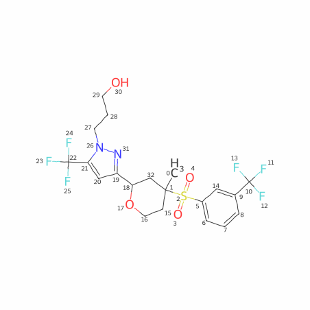 CC1(S(=O)(=O)c2cccc(C(F)(F)F)c2)CCOC(c2cc(C(F)(F)F)n(CCCO)n2)C1